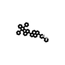 c1ccc(-c2c3c(c(-c4ccccc4)c4ccccc24)-c2ccc(-c4ccc5ccc6c(-c7ccc(-c8ccccn8)nc7)ccc7ccc4c5c76)c4cccc-3c24)cc1